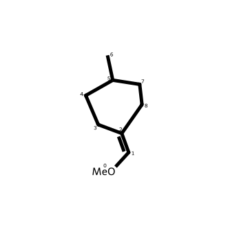 COC=C1CCC(C)CC1